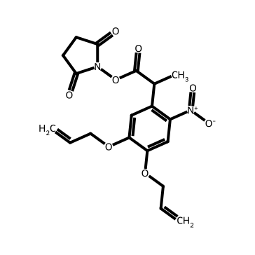 C=CCOc1cc(C(C)C(=O)ON2C(=O)CCC2=O)c([N+](=O)[O-])cc1OCC=C